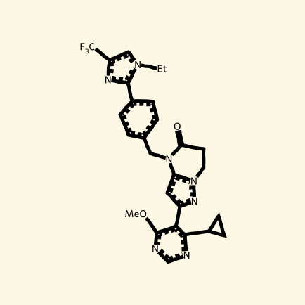 CCn1cc(C(F)(F)F)nc1-c1ccc(CN2C(=O)CCn3nc(-c4c(OC)ncnc4C4CC4)cc32)cc1